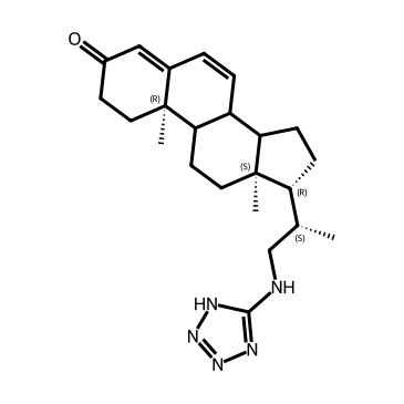 C[C@H](CNc1nnn[nH]1)[C@H]1CCC2C3C=CC4=CC(=O)CC[C@]4(C)C3CC[C@@]21C